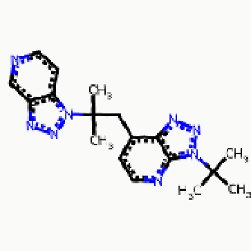 CC(C)(C)n1nnc2c(CC(C)(C)n3nnc4cnccc43)ccnc21